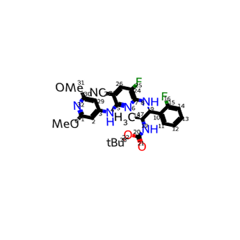 COc1cc(Nc2nc(N[C@H](c3ccccc3F)[C@H](C)NC(=O)OC(C)(C)C)c(F)cc2C#N)cc(OC)n1